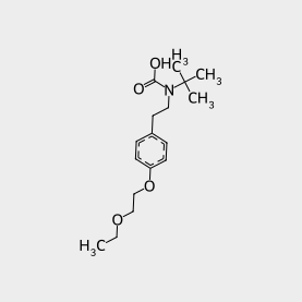 CCOCCOc1ccc(CCN(C(=O)O)C(C)(C)C)cc1